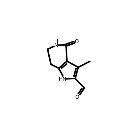 Cc1c(C=O)[nH]c2c1C(=O)NCC2